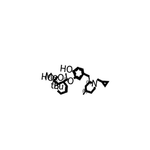 COC1([C@@H](C)Oc2cc(C[C@@H]3C[C@H](C)CCN3CC3CC3)ccc2O)C=CCC[C@@H]1[C@](C)(O)C(C)(C)C